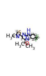 COC(C)c1cc(-c2nc(C)cs2)nc(NC2CCC(F)(F)CC2)n1